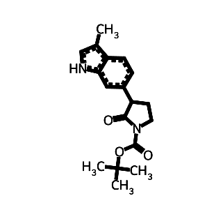 Cc1c[nH]c2cc(C3CCN(C(=O)OC(C)(C)C)C3=O)ccc12